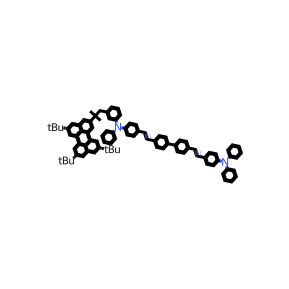 CC(C)(C)c1cc2cc(C(C)(C)C)cc3c4cc(C(C)(C)Cc5cccc(N(c6ccccc6)c6ccc(/C=C/c7ccc(-c8ccc(/C=C/c9ccc(N(c%10ccccc%10)c%10ccccc%10)cc9)cc8)cc7)cc6)c5)cc5cc(C(C)(C)C)cc(c(c1)c23)c54